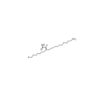 CCCCCCCCCCCCC(CCCCCCCF)=C(F)C(=O)O